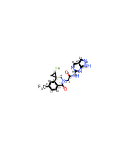 O=C(CN1C[C@@]2(C[C@H]2F)c2cc(C(F)(F)F)ccc2C1=O)Nc1ncc2cn[nH]c2n1